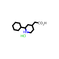 Cl.O=C(O)CC1CCNC(C2CCCCC2)C1